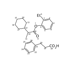 CCc1ccccc1OC(=O)C(C)C1CCCCC1.O=C(O)CCc1ccccc1